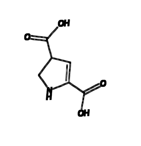 O=C(O)C1=CC(C(=O)O)CN1